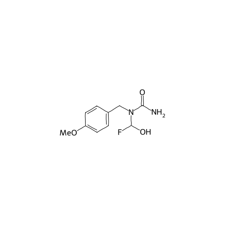 COc1ccc(CN(C(N)=O)C(O)F)cc1